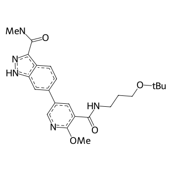 CNC(=O)c1n[nH]c2cc(-c3cnc(OC)c(C(=O)NCCCOC(C)(C)C)c3)ccc12